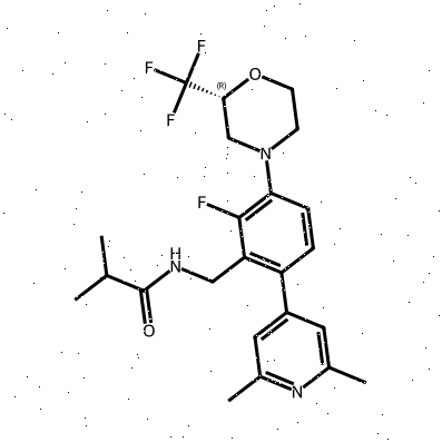 Cc1cc(-c2ccc(N3CCO[C@@H](C(F)(F)F)C3)c(F)c2CNC(=O)C(C)C)cc(C)n1